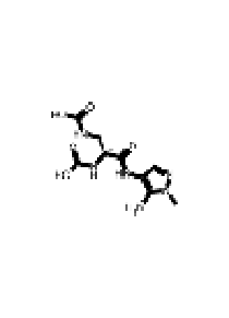 Cn1ncc(NC(=O)[C@H](CNC(=O)O)NC(=O)O)c1N